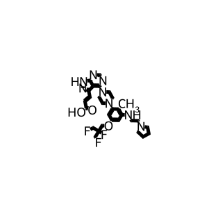 Cc1c(NCCN2CCCC2)cc(OCC(F)(CF)CF)cc1N1CCN(c2ncnc3[nH]nc(C=CC(=O)O)c23)CC1